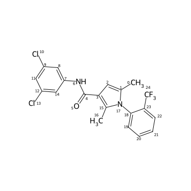 Cc1cc(C(=O)Nc2cc(Cl)cc(Cl)c2)c(C)n1-c1ccccc1C(F)(F)F